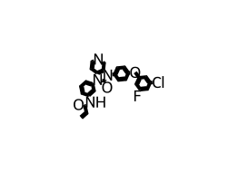 C=CC(=O)Nc1cccc(-n2c(=O)n(-c3ccc(Oc4cc(F)cc(Cl)c4)cc3)c3cnccc32)c1